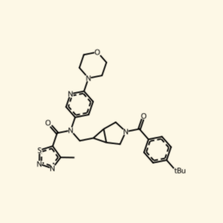 Cc1nnsc1C(=O)N(CC1C2CN(C(=O)c3ccc(C(C)(C)C)cc3)CC21)c1ccc(N2CCOCC2)nc1